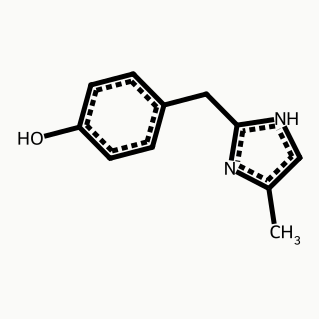 Cc1c[nH]c(Cc2ccc(O)cc2)n1